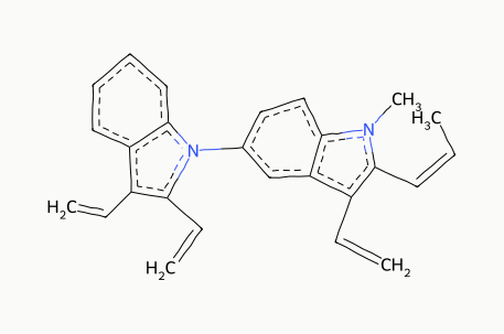 C=Cc1c(/C=C\C)n(C)c2ccc(-n3c(C=C)c(C=C)c4ccccc43)cc12